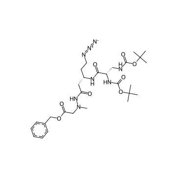 CN(CC(=O)OCc1ccccc1)NC(=O)C[C@H](CCN=[N+]=[N-])NC(=O)[C@H](CNC(=O)OC(C)(C)C)NC(=O)OC(C)(C)C